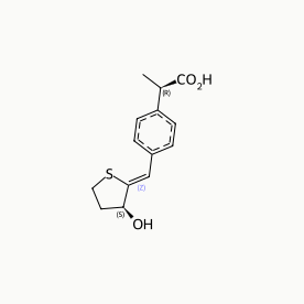 C[C@@H](C(=O)O)c1ccc(/C=C2\SCC[C@@H]2O)cc1